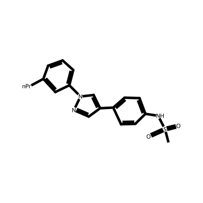 CCCc1cccc(-n2cc(-c3ccc(NS(C)(=O)=O)cc3)cn2)c1